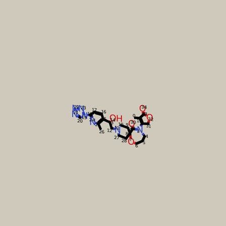 CC1=C(N2CCCOC3(CCN(CC(O)c4ccc(-n5cnnn5)nc4C)CC3)C2=O)COC1=O